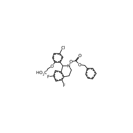 O=C(O)COc1ccc(Cl)cc1C1c2cc(F)cc(F)c2CCN1OC(=O)OCc1ccccc1